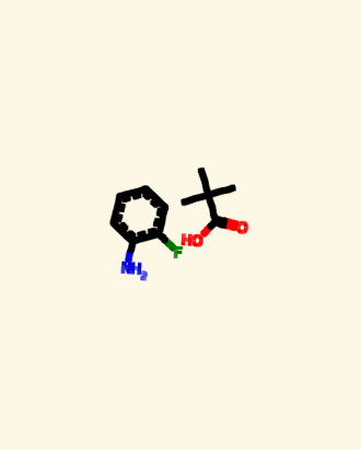 CC(C)(C)C(=O)O.Nc1ccccc1F